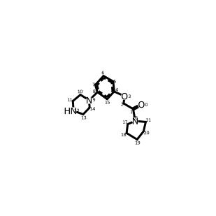 O=C(COc1cccc(N2CCNCC2)c1)N1CCCCC1